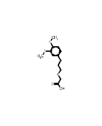 COc1ccc(CCCOCC(=O)O)cc1OC